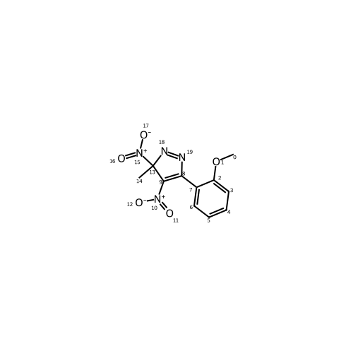 COc1ccccc1C1=C([N+](=O)[O-])C(C)([N+](=O)[O-])N=N1